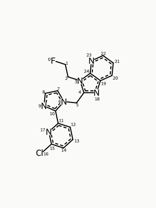 FCCn1c(Cn2ccnc2-c2cccc(Cl)n2)nc2cccnc21